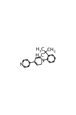 CC(C)(C)c1ccccc1N1C=CC(c2ccncc2)=CC1